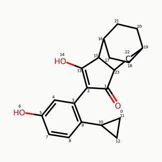 O=C1C(c2cc(O)ccc2C2CC2)=C(O)C2C3CCC(CC3)CC12